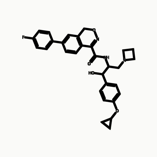 O=C(NC(CN1CCC1)C(O)c1ccc(OC2CC2)cc1)C1=NOCc2cc(-c3ccc(F)cc3)ccc21